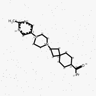 Cc1ncc(N2CCN(C3CC4(CCC(C(=O)C(C)C)CC4)C3)CC2)cn1